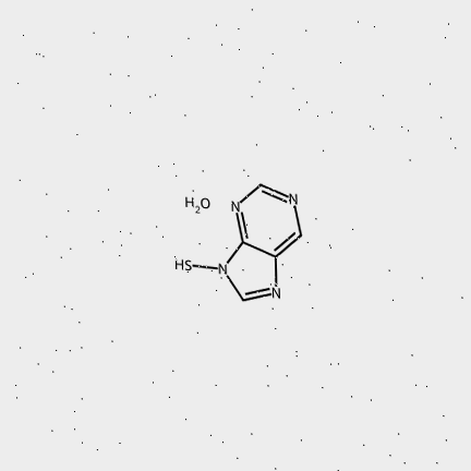 O.Sn1cnc2cncnc21